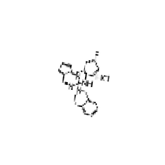 Cc1cc(F)ccc1NC1(N2CCc3ccccc3C2)N=CC2=CC=CC2=N1.Cl